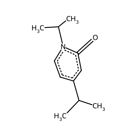 CC(C)c1ccn(C(C)C)c(=O)c1